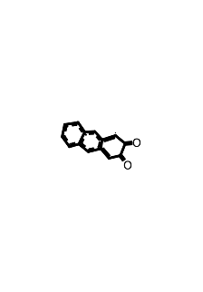 O=C1[C]=c2cc3ccccc3cc2=CC1=O